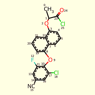 CC(Oc1cccc2c(Oc3c(F)cc(C#N)cc3Cl)cccc12)C(=O)Cl